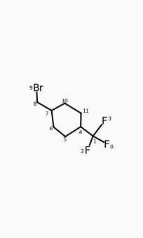 FC(F)(F)C1CCC(CBr)CC1